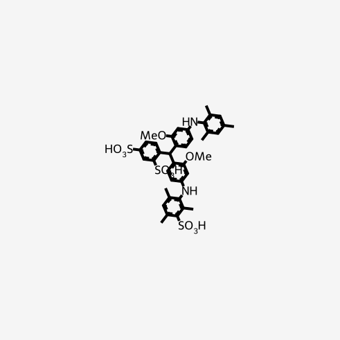 COc1cc(Nc2c(C)cc(C)cc2C)ccc1C(c1ccc(Nc2c(C)cc(C)c(S(=O)(=O)O)c2C)cc1OC)c1ccc(S(=O)(=O)O)cc1S(=O)(=O)O